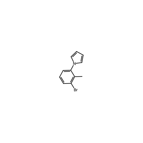 Cc1c(Br)cccc1-n1cccc1